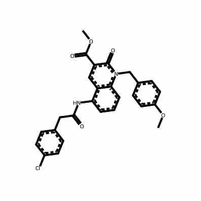 COC(=O)c1cc2c(NC(=O)Cc3ccc(Cl)cc3)cccc2n(Cc2ccc(OC)cc2)c1=O